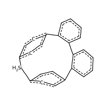 c1ccc2c(c1)-c1ccc(cc1)[SiH2]c1ccc(cc1)-c1ccccc1-2